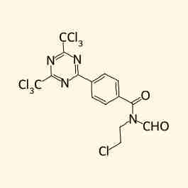 O=CN(CCCl)C(=O)c1ccc(-c2nc(C(Cl)(Cl)Cl)nc(C(Cl)(Cl)Cl)n2)cc1